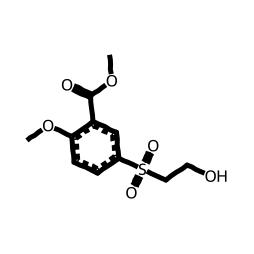 COC(=O)c1cc(S(=O)(=O)CCO)ccc1OC